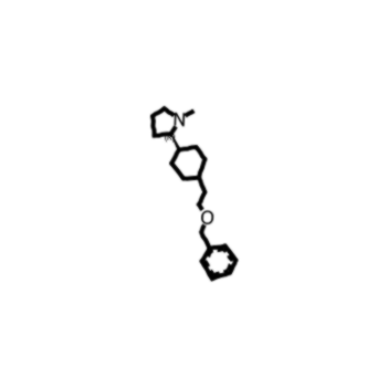 CN1CCC[C@@H]1C1CCC(CCOCc2ccccc2)CC1